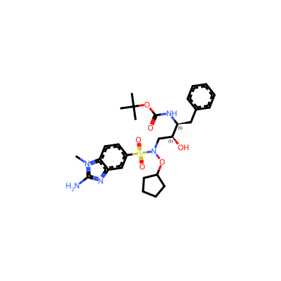 Cn1c(N)nc2cc(S(=O)(=O)N(C[C@H](O)[C@H](Cc3ccccc3)NC(=O)OC(C)(C)C)OC3CCCC3)ccc21